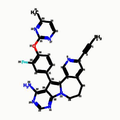 BC#Cc1cc2c(cn1)-c1c(-c3ccc(Oc4nccc(C)n4)c(F)c3)c3c(N)ncnc3n1CCC2